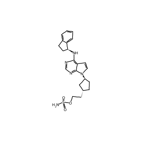 NS(=O)(=O)OCC[C@H]1CC[C@H](n2ccc3c(N[C@H]4CCc5ccccc54)ncnc32)C1